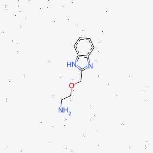 NCCOCc1nc2ccccc2[nH]1